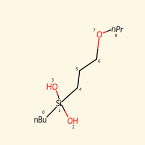 CCCC[Si](O)(O)CCCOCCC